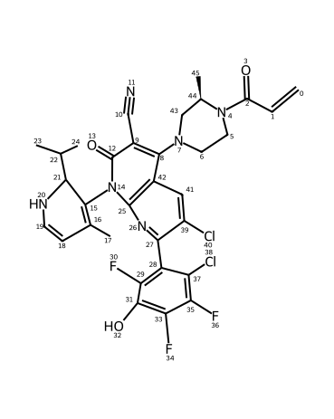 C=CC(=O)N1CCN(c2c(C#N)c(=O)n(C3=C(C)C=CNC3C(C)C)c3nc(-c4c(F)c(O)c(F)c(F)c4Cl)c(Cl)cc23)C[C@H]1C